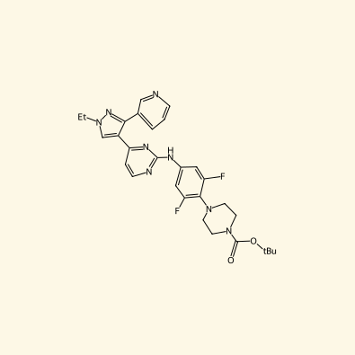 CCn1cc(-c2ccnc(Nc3cc(F)c(N4CCN(C(=O)OC(C)(C)C)CC4)c(F)c3)n2)c(-c2cccnc2)n1